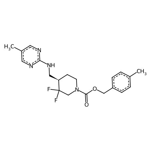 Cc1ccc(COC(=O)N2CC[C@H](CNc3ncc(C)cn3)C(F)(F)C2)cc1